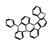 c1ccc(N2c3ccccc3B3c4c2cccc4-n2c4c3cccc4c3ccc4oc5ccccc5c4c32)cc1